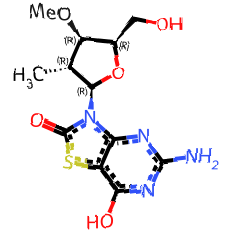 CO[C@@H]1[C@@H](C)[C@H](n2c(=O)sc3c(O)nc(N)nc32)O[C@@H]1CO